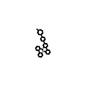 CC1=C=CC(c2ccc(-c3ccc4c(c3)B3c5ccccc5-c5ccccc5N3c3ccccc3-4)cc2)=CC=C1